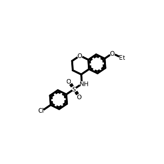 CCOc1ccc2c(c1)OCCC2NS(=O)(=O)c1ccc(Cl)cc1